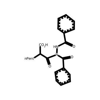 CCCCCC(C(=O)O)C(=O)N(NC(=O)c1ccccc1)C(=O)c1ccccc1